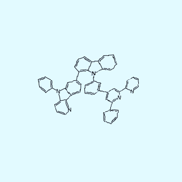 c1ccc(-c2cc(-c3cccc(-n4c5ccccc5c5cccc(-c6ccc7c8ncccc8n(-c8ccccc8)c7c6)c54)c3)cc(-c3ccccn3)n2)cc1